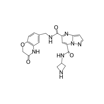 O=C1COc2ccc(CNC(=O)c3cc(C(=O)NC4CNC4)n4nccc4n3)cc2N1